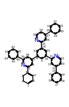 C1=CCCC(c2cc(-c3cc(-c4cc(-c5ccccc5)ccn4)cc(-c4cc(-c5ccccc5)ccn4)c3)cc(-c3ccccc3)n2)=C1